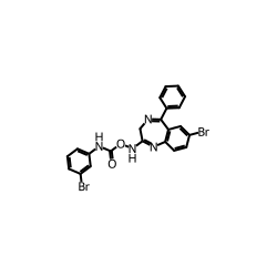 O=C(Nc1cccc(Br)c1)ONC1=Nc2ccc(Br)cc2C(c2ccccc2)=NC1